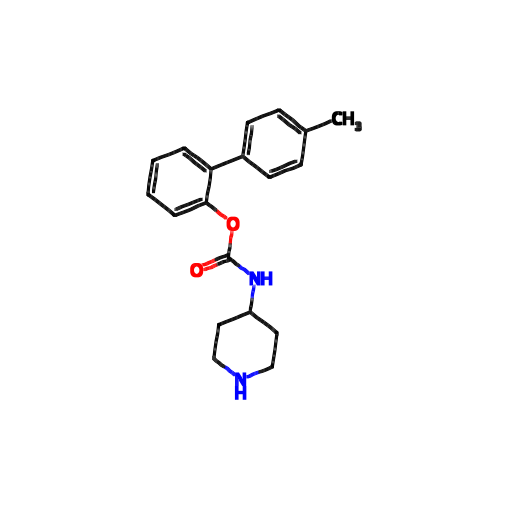 Cc1ccc(-c2ccccc2OC(=O)NC2CCNCC2)cc1